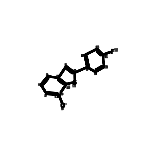 [O-][n+]1cccc2cc(-c3ccc(F)cc3)sc21